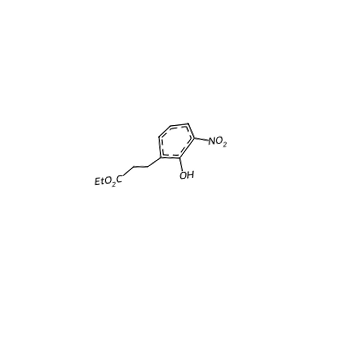 CCOC(=O)CCc1cccc([N+](=O)[O-])c1O